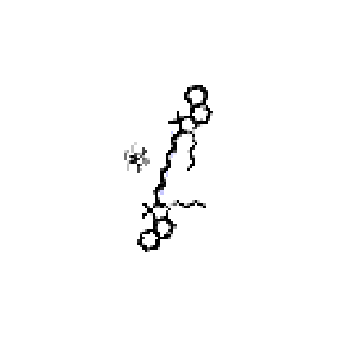 CCCCN1\C(=C/C=C/C=C/C=C/C2=[N+](CCCC)c3ccc4ccccc4c3C2(C)C)C(C)(C)c2c1ccc1ccccc21.F[P-](F)(F)(F)(F)F